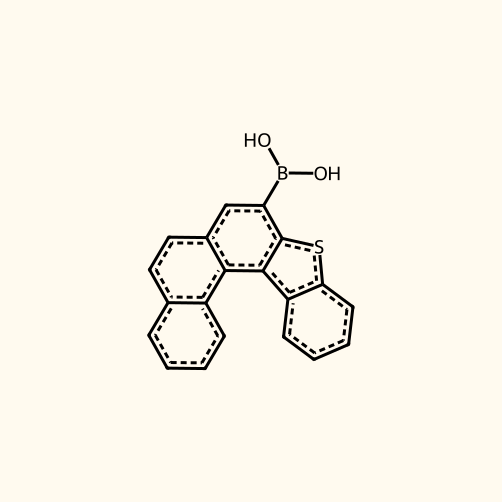 OB(O)c1cc2ccc3ccccc3c2c2c1sc1ccccc12